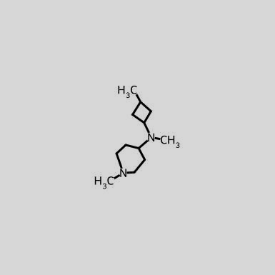 CC1CC(N(C)C2CCN(C)CC2)C1